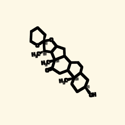 C[C@H]1C2C(CC3C4CCC5C[C@@H](O)CC[C@]5(C)C4CC(=O)[C@@]32C)O[C@]12CCCCO2